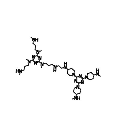 CNCCCN(C)c1nc(N(C)CCCNC)nc(N(C)CCCNCCNC2CCN(c3nc(N4CCC(NC)CC4)nc(N4CCC(NC)CC4)n3)CC2)n1